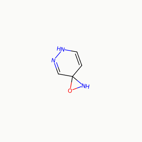 C1=CC2(C=NN1)NO2